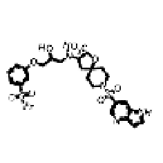 CC(C)S(=O)(=O)c1cccc(OCC(O)CN(C(=O)O)C2COC3(CCN(S(=O)(=O)c4cnc5cc[nH]c5c4)CC3)C2)c1